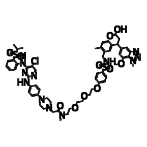 COc1cc(C(CC(=O)O)c2ccc(C)c(CNS(=O)(=O)c3ccc(OCCOCCOCCN(C)C(=O)CN4CCN(c5ccc(Nc6ncc(Cl)c(Nc7ccccc7S(=O)(=O)C(C)C)n6)cc5)CC4)cc3)c2)cc2nnn(C)c12